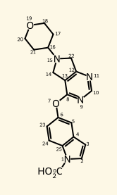 O=C(O)n1ccc2cc(Oc3ncnc4c3CN(C3CCOCC3)C4)ccc21